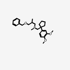 COc1ccc(C2(CN(C)CC(C)COCc3ccccc3)CCCC2)cc1OC